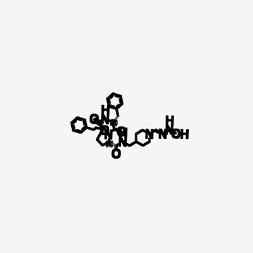 O=C(NCC1CCN(C=NNO)CC1)[C@@H]1CCCN1C(=O)[C@@H](Cc1ccccc1)NS(=O)(=O)Cc1ccccc1